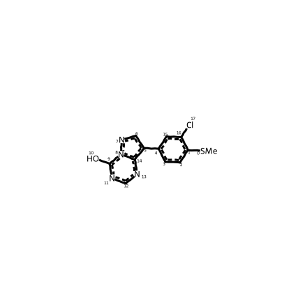 CSc1ccc(-c2cnn3c(O)ncnc23)cc1Cl